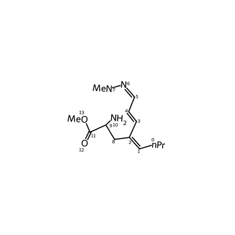 CCC\C=C(/C=C/C=N\NC)CC(N)C(=O)OC